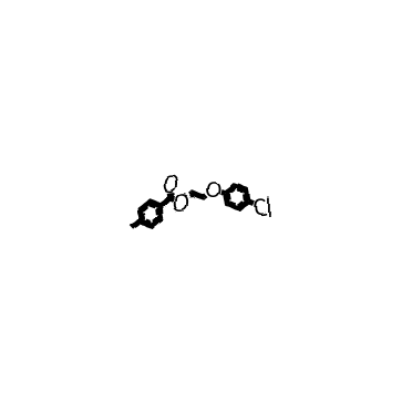 Cc1ccc(C(=O)OCCOc2ccc(Cl)cc2)cc1